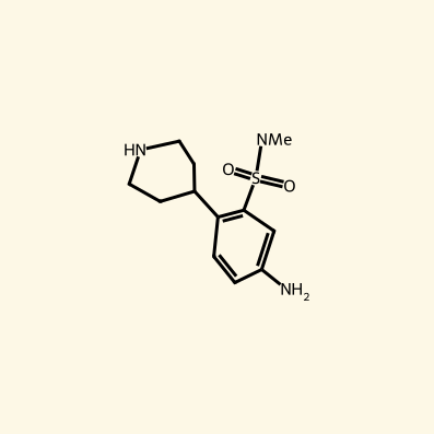 CNS(=O)(=O)c1cc(N)ccc1C1CCNCC1